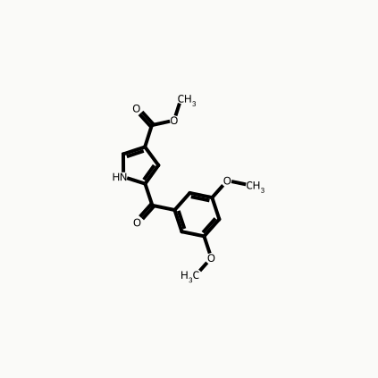 COC(=O)c1c[nH]c(C(=O)c2cc(OC)cc(OC)c2)c1